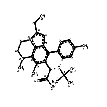 Cc1ccc(-c2c([C@H](OC(C)(C)C)C(=O)O)c(C)c3c4c2cc(CO)n4CCN3C)cc1